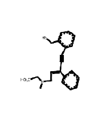 CN(CC=C(C#Cc1ccccc1CS)c1ccccc1)CC(=O)O